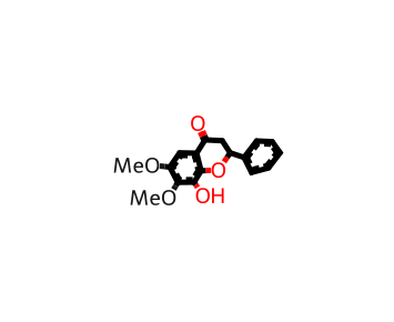 COc1cc2c(c(O)c1OC)OC(c1ccccc1)CC2=O